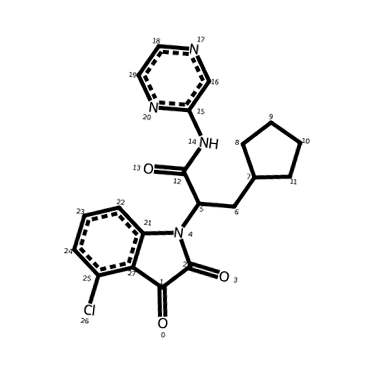 O=C1C(=O)N(C(CC2CCCC2)C(=O)Nc2cnccn2)c2cccc(Cl)c21